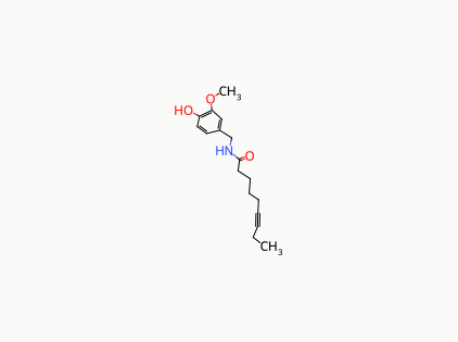 CCC#CCCCCC(=O)NCc1ccc(O)c(OC)c1